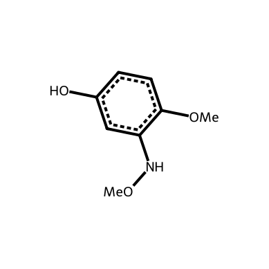 CONc1cc(O)ccc1OC